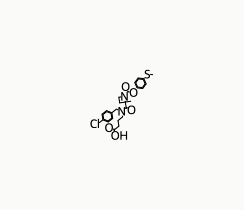 CSc1ccc(OC(=O)N2CCC2(C)C(=O)N(CCCC(=O)O)Cc2ccc(Cl)cc2)cc1